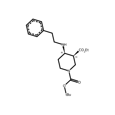 CCOC(=O)[C@H]1CN(C(=O)OC(C)(C)C)CC[C@H]1NCCc1ccccc1